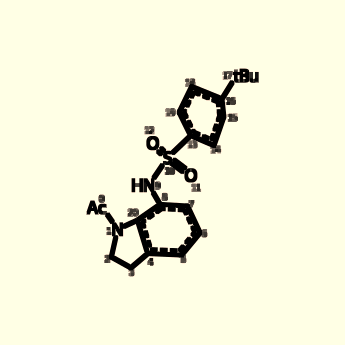 CC(=O)N1CCc2cccc(NS(=O)(=O)c3ccc(C(C)(C)C)cc3)c21